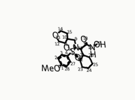 COc1ccc(S(=O)(=O)N(CC2CCOCC2)C(C(=O)NO)C2CCCCC2)cc1